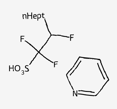 CCCCCCCC(F)C(F)(F)S(=O)(=O)O.c1ccncc1